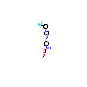 CCOCC(=O)N[C@H]1CC[C@H](CCN2CCN(c3cccc(C(F)(F)F)c3)CC2)CC1